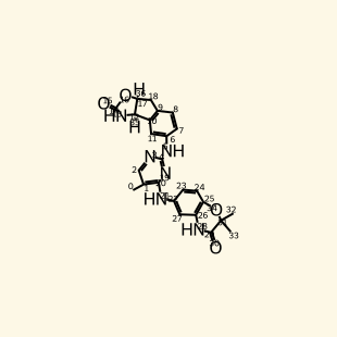 Cc1cnc(Nc2ccc3c(c2)[C@H]2NC(=O)O[C@H]2C3)nc1Nc1ccc2c(c1)NC(=O)C(C)(C)O2